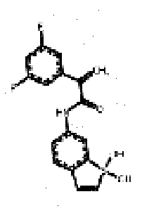 C=C(C(=O)Nc1ccc2c(c1)S(O)(O)C=C2)c1cc(F)cc(F)c1